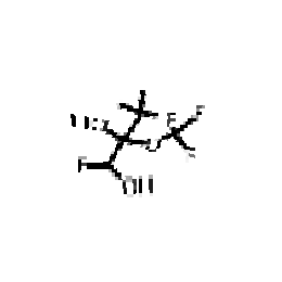 CC(C)(C)C(O)(OC(F)(F)F)C(O)F